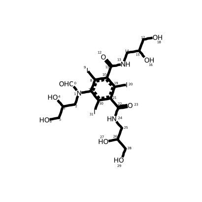 O=CN(CC(O)CO)c1c(I)c(C(=O)NCC(O)CO)c(I)c(C(=O)NCC(O)CO)c1I